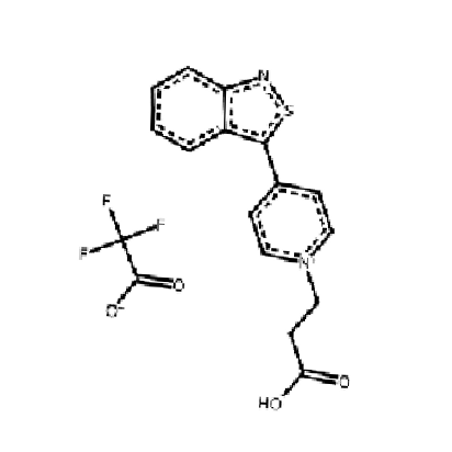 O=C(O)CC[n+]1ccc(-c2snc3ccccc23)cc1.O=C([O-])C(F)(F)F